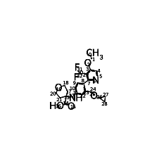 CCOc1ccnc(-c2ccc(NC3(C(=O)O)CCOCC3)cc2COC2CC2)c1C(F)F